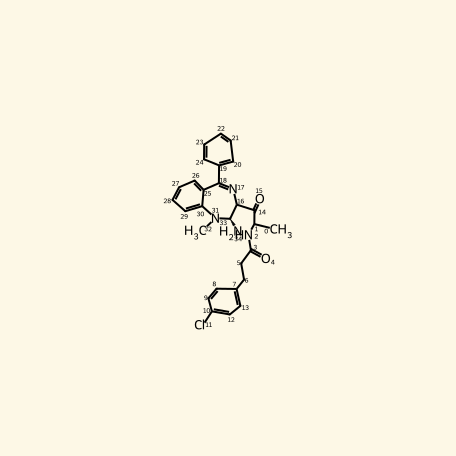 CC(NC(=O)CCc1ccc(Cl)cc1)C(=O)C1N=C(c2ccccc2)c2ccccc2N(C)[C@@H]1N